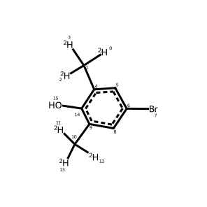 [2H]C([2H])([2H])c1cc(Br)cc(C([2H])([2H])[2H])c1O